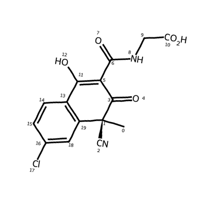 C[C@@]1(C#N)C(=O)C(C(=O)NCC(=O)O)=C(O)c2ccc(Cl)cc21